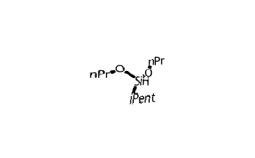 CCCO[SiH](OCCC)C(C)CCC